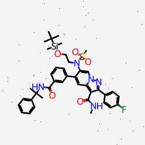 CNC(=O)c1c(-c2ccc(F)cc2)nn2cc(N(CCO[Si](C)(C)C(C)(C)C)S(C)(=O)=O)c(-c3cccc(C(=O)NC(C)(C)c4ccccc4)c3)cc12